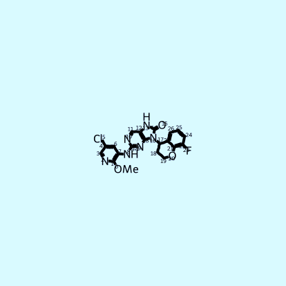 COc1ncc(Cl)cc1Nc1ncc2[nH]c(=O)n(C3CCOc4c(F)cccc43)c2n1